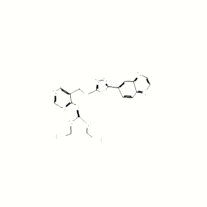 CCNC(=Nc1ncncc1CSc1nnc(-c2ccc3nccnc3c2)o1)NCC